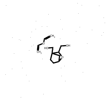 C=COC=C.OCC1OC2CCC1(CO)C2